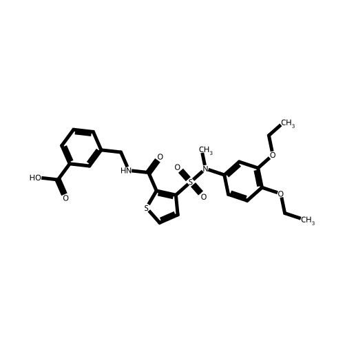 CCOc1ccc(N(C)S(=O)(=O)c2ccsc2C(=O)NCc2cccc(C(=O)O)c2)cc1OCC